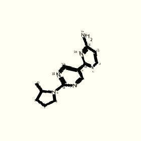 CC1CCCN1c1ncc(-c2nccc(N)n2)cn1